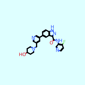 O=C(Nc1cnccc1F)c1n[nH]c2ccc(-c3cncc(CN4CCC(O)CC4)c3)cc12